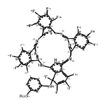 COc1cccc(NC2(F)C(F)=C(F)C(F)=c3c2c2[nH]/c3=N\C3=NC(=N\c4[nH]c(c5c(F)c(F)c(F)c(F)c45)/N=C4\N=C(N2)c2c(F)c(F)c(F)c(F)c24)/c2c3cc(F)c(F)c2F)c1